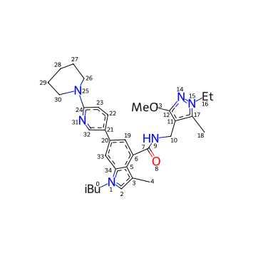 CCC(C)n1cc(C)c2c(C(=O)NCc3c(OC)nn(CC)c3C)cc(-c3ccc(N4CCCCC4)nc3)cc21